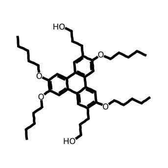 CCCCCOc1cc2c(cc1CCCO)c1cc(OCCCCC)c(OCCCCC)cc1c1cc(CCCO)c(OCCCCC)cc12